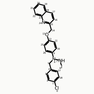 Clc1ccc(CN(NI)c2ccc(OCc3ccc4ccccc4n3)cc2)cc1